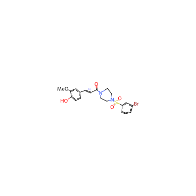 COc1cc(/C=C/C(=O)N2CCN(S(=O)(=O)c3cccc(Br)c3)CC2)ccc1O